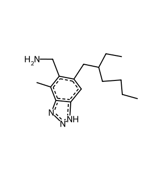 CCCCC(CC)Cc1cc2[nH]nnc2c(C)c1CN